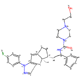 C[C@]12Cc3cnn(-c4ccc(F)cc4)c3C=C1CC[C@@H]2CC(NC(=O)N1CCN(CCO)CC1)c1ccccc1